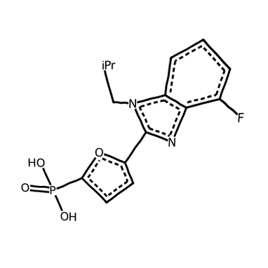 CC(C)Cn1c(-c2ccc(P(=O)(O)O)o2)nc2c(F)cccc21